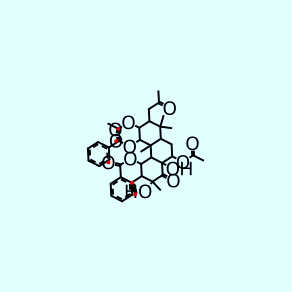 C=CC1C(OC(=O)c2ccccc2)C2C(O)(C(=O)C1(C)O)C(OC(C)=O)CC1C(C)(C)C(CC(C)=O)C(OC(C)=O)C(OC(=O)c3ccccc3)C12C